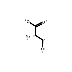 O=C([O-])CCO.[Na+]